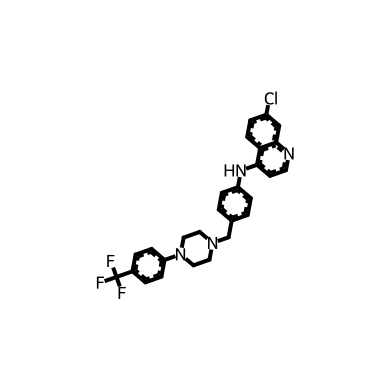 FC(F)(F)c1ccc(N2CCN(Cc3ccc(Nc4ccnc5cc(Cl)ccc45)cc3)CC2)cc1